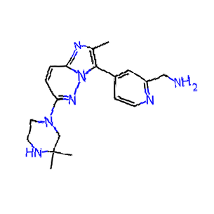 Cc1nc2ccc(N3CCNC(C)(C)C3)nn2c1-c1ccnc(CN)c1